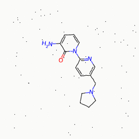 Nc1cccn(-c2ccc(CN3CCCC3)cn2)c1=O